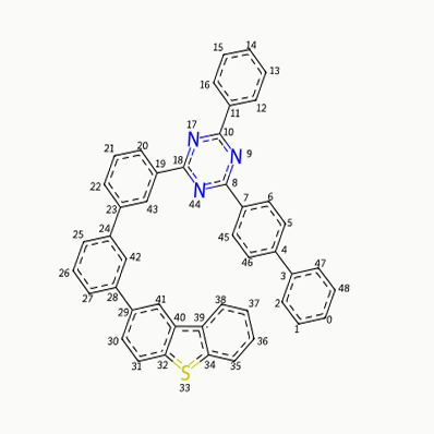 c1ccc(-c2ccc(-c3nc(-c4ccccc4)nc(-c4cccc(-c5cccc(-c6ccc7sc8ccccc8c7c6)c5)c4)n3)cc2)cc1